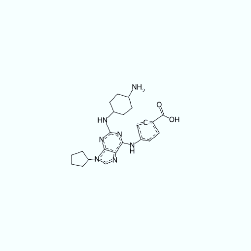 NC1CCC(Nc2nc(Nc3ccc(C(=O)O)cc3)c3ncn(C4CCCC4)c3n2)CC1